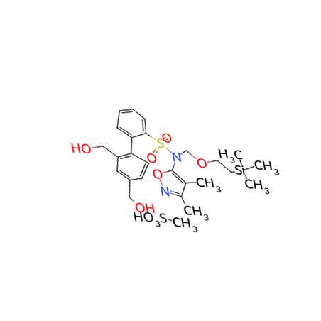 CS(=O)(=O)O.Cc1noc(N(COCC[Si](C)(C)C)S(=O)(=O)c2ccccc2-c2ccc(CO)cc2CO)c1C